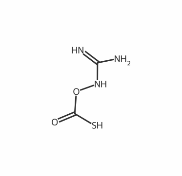 N=C(N)NOC(=O)S